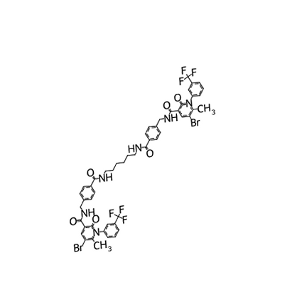 Cc1c(Br)cc(C(=O)NCc2ccc(C(=O)NCCCCCCNC(=O)c3ccc(CNC(=O)c4cc(Br)c(C)n(-c5cccc(C(F)(F)F)c5)c4=O)cc3)cc2)c(=O)n1-c1cccc(C(F)(F)F)c1